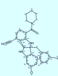 C#Cc1ccc(C(=O)N2CCOCC2)c(NC2(Cc3cccc(Cl)c3)C(=O)Nc3cc(Cl)ccc32)c1